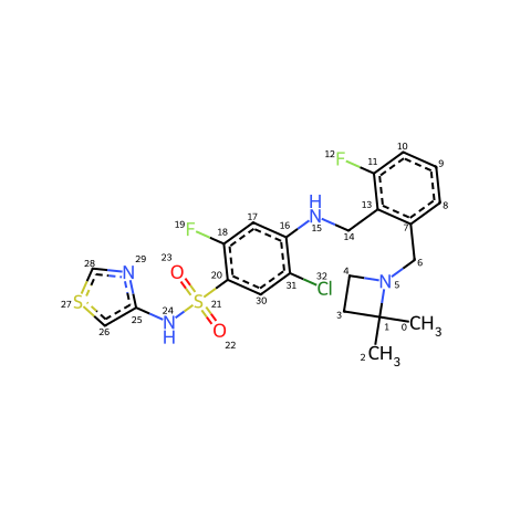 CC1(C)CCN1Cc1cccc(F)c1CNc1cc(F)c(S(=O)(=O)Nc2cscn2)cc1Cl